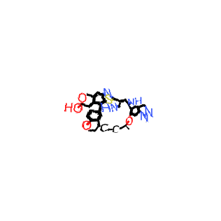 Cc1cc2nc3sc2c(c1CC(=O)O)-c1ccc2c(c1)C(CCCC[C@H](C)Oc1cc4c(cnn4C)cc1C(=N)/C=C/3C=N)CCO2